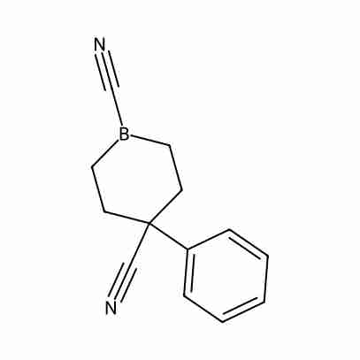 N#CB1CCC(C#N)(c2ccccc2)CC1